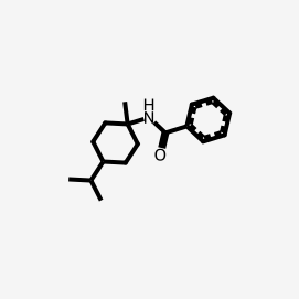 CC(C)C1CCC(C)(NC(=O)c2ccccc2)CC1